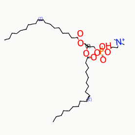 CCCCCCCC/C=C\CCCCCCCC(=O)OC[C@@H](COP(=O)(O)OCC[N+](C)(C)C)OC(=O)CCCCCCC/C=C\CCCCCCCC